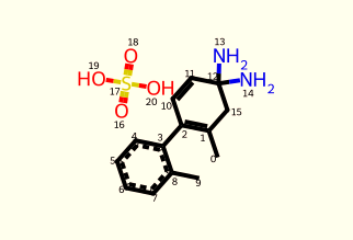 CC1=C(c2ccccc2C)C=CC(N)(N)C1.O=S(=O)(O)O